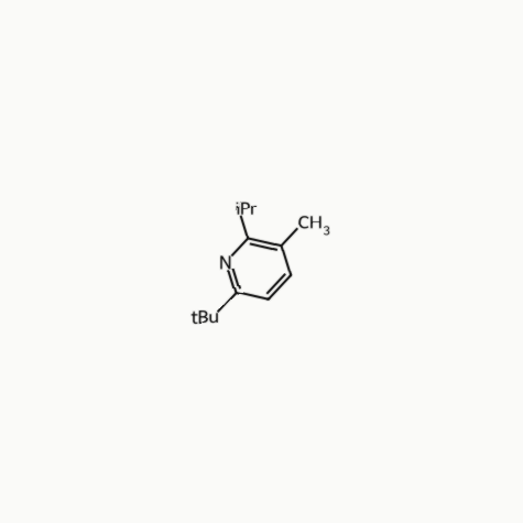 Cc1ccc(C(C)(C)C)nc1C(C)C